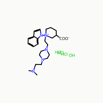 CN(C)CCN1CCN(CC[N+]2(n3ccc4ccccc43)CCCC(C(=O)[O-])C2)CC1.Cl.Cl.Cl.Cl